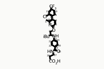 CCC(C)C(COc1ccc(-c2ccc(C(F)(F)F)cc2Cl)c(C)n1)Nc1ccc(C(=O)NCCC(=O)O)cc1